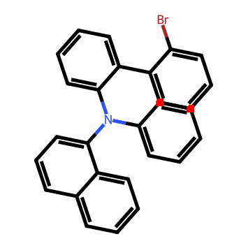 Brc1ccccc1-c1ccccc1N(c1ccccc1)c1cccc2ccccc12